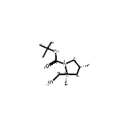 C[C@H]1CN(C(=O)OC(C)(C)C)[C@](C)(CO)C1